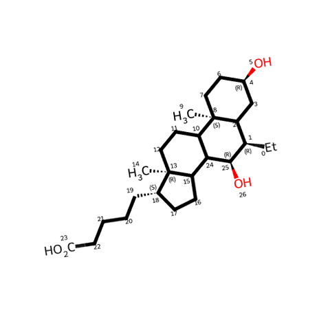 CC[C@@H]1C2C[C@H](O)CC[C@]2(C)C2CC[C@@]3(C)C(CC[C@@H]3CCCCC(=O)O)C2[C@@H]1O